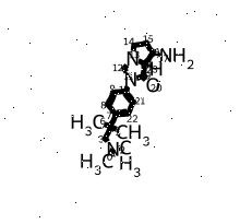 CN(C)CC(C)(C)c1ccc(N2CN3CC[C@@H](N)[C@H]3C2=O)cc1